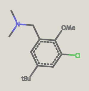 COc1c(Cl)cc(C(C)(C)C)cc1CN(C)C